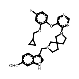 O=Cc1ccc2c(CN3CCC4(CCN(c5ncncc5Oc5ccc(F)cc5OCC5CC5)C4)C3)c[nH]c2c1